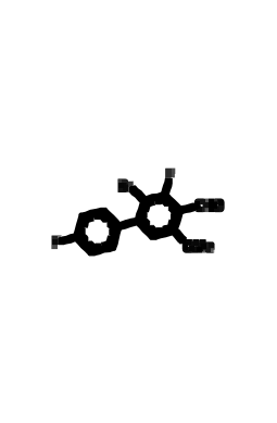 COc1cc(-c2ccc(F)cc2)c(Br)c(F)c1C=O